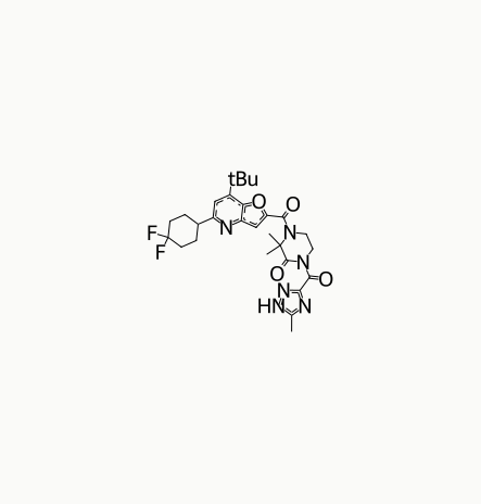 Cc1nc(C(=O)N2CCN(C(=O)c3cc4nc(C5CCC(F)(F)CC5)cc(C(C)(C)C)c4o3)C(C)(C)C2=O)n[nH]1